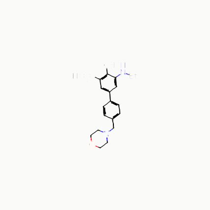 CCNc1cc(-c2ccc(CN3CCOCC3)cc2)cc(C(=O)O)c1C